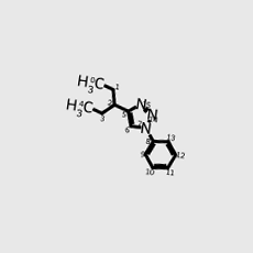 CCC(CC)c1cn(-c2ccccc2)nn1